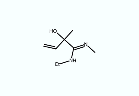 C=CC(C)(O)/C(=N/C)NCC